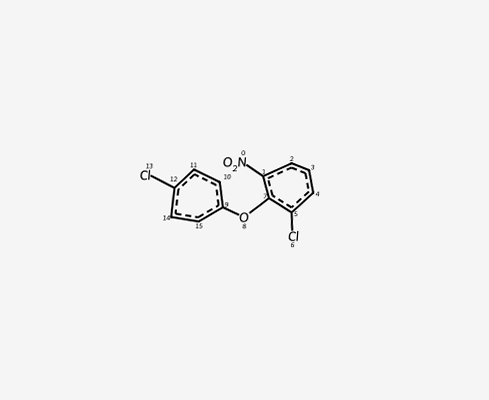 O=[N+]([O-])c1cccc(Cl)c1Oc1ccc(Cl)cc1